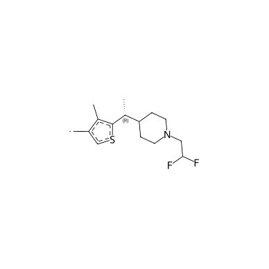 [CH2]c1csc([C@H](C)C2CCN(CC(F)F)CC2)c1C